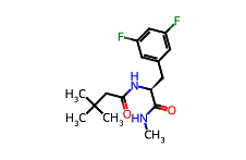 CNC(=O)[C@H](Cc1cc(F)cc(F)c1)NC(=O)CC(C)(C)C